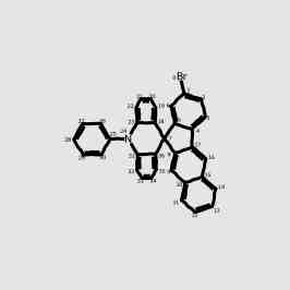 Brc1ccc2c(c1)C1(c3cc4ccccc4cc3-2)c2ccccc2N(c2ccccc2)c2ccccc21